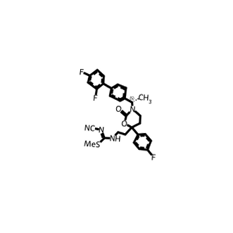 CSC(=NC#N)NCCC1(c2ccc(F)cc2)CCN([C@@H](C)c2ccc(-c3ccc(F)cc3F)cc2)C(=O)O1